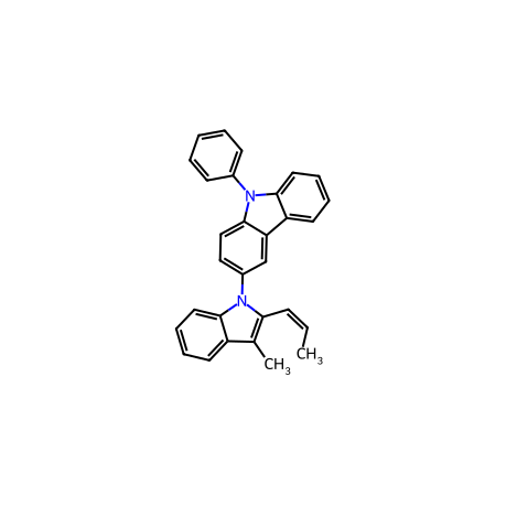 C/C=C\c1c(C)c2ccccc2n1-c1ccc2c(c1)c1ccccc1n2-c1ccccc1